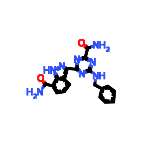 NC(=O)c1nc(NCc2ccccc2)nc(-c2n[nH]c3c(C(N)=O)cccc23)n1